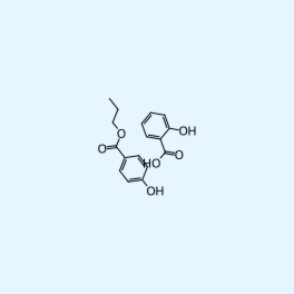 CCCOC(=O)c1ccc(O)cc1.O=C(O)c1ccccc1O